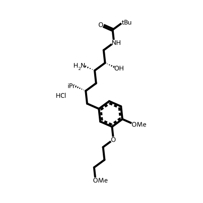 COCCCOc1cc(C[C@@H](C[C@H](N)[C@@H](O)CNC(=O)C(C)(C)C)C(C)C)ccc1OC.Cl